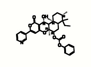 CCC1(C)C2C[C@H](OC(=O)Oc3ccccc3)[C@@]3(C)Oc4cc(-c5cccnc5)oc(=O)c4[C@H](O)C3[C@@]2(C)CC[C@@H]1C